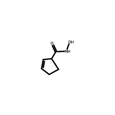 O=C(NO)C1C=CCC1